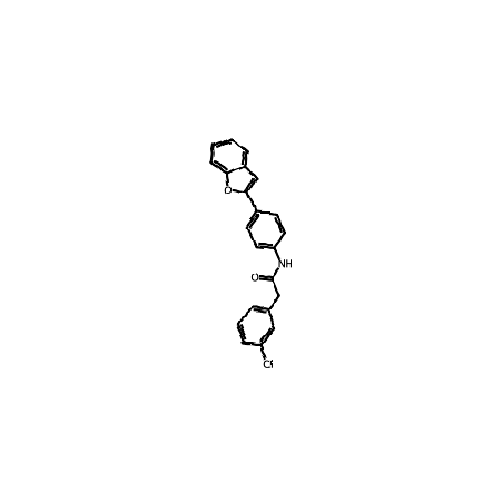 O=C(Cc1cccc(Cl)c1)Nc1ccc(-c2cc3ccccc3o2)cc1